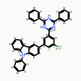 Clc1cc(-c2ccc3c(c2)c2ccccc2n3-c2ccccc2)cc(-c2nc(-c3ccccc3)nc(-c3ccccc3)n2)c1